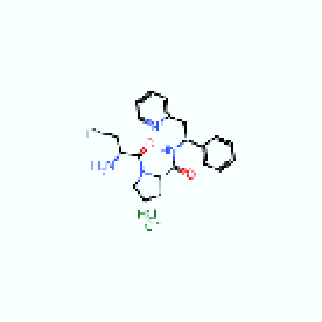 CC(C)C[C@H](N)C(=O)N1CCC[C@H]1C(=O)N[C@@H](CC1=CC=CC=[N+]1)c1ccccc1.Cl.[Cl-]